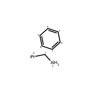 CC(C)[CH2][AlH2].c1ccccc1